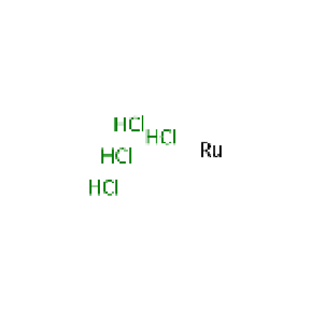 Cl.Cl.Cl.Cl.[Ru]